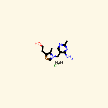 Cc1ncc(C[n+]2csc(CCO)c2C)c(N)n1.[Cl-].[NaH]